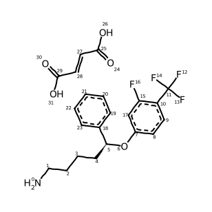 NCCCC[C@H](Oc1ccc(C(F)(F)F)c(F)c1)c1ccccc1.O=C(O)C=CC(=O)O